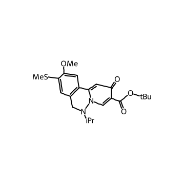 COc1cc2c(cc1SC)CN(C(C)C)n1cc(C(=O)OC(C)(C)C)c(=O)cc1-2